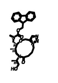 C[C@H](CO)N1C[C@H](C)[C@H](CN(C)C(=O)OCC2c3ccccc3-c3ccccc32)OCc2cnnn2CCCC1=O